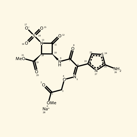 COC(=O)CON=C(C(=O)N[C@@H]1C(=O)N(S(=O)(=O)[O-])[C@@H]1C(=O)OC)c1csc(N)n1.[Na+]